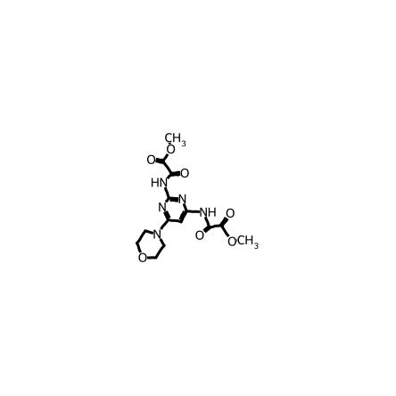 COC(=O)C(=O)Nc1cc(N2CCOCC2)nc(NC(=O)C(=O)OC)n1